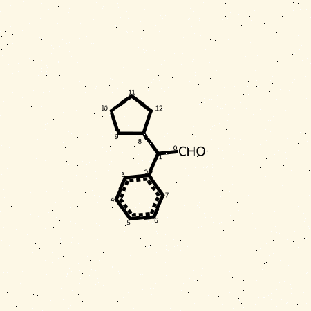 O=[C]C(c1ccccc1)C1CCCC1